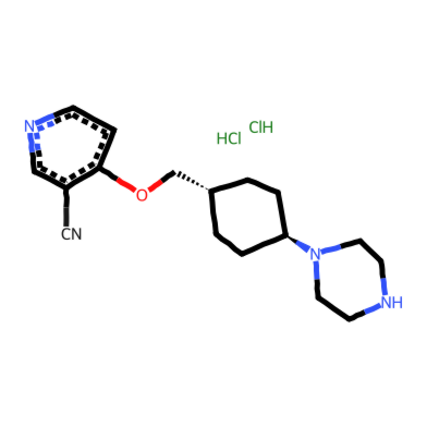 Cl.Cl.N#Cc1cnccc1OC[C@H]1CC[C@H](N2CCNCC2)CC1